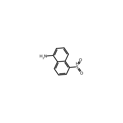 Nc1cccc2c([SH](=O)=O)cccc12